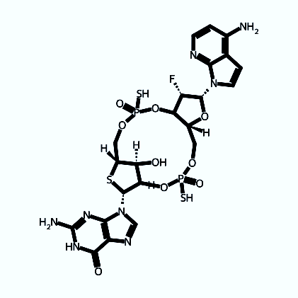 Nc1nc2c(ncn2[C@@H]2S[C@@H]3COP(=O)(S)OC4[C@@H](COP(=O)(S)O[C@@H]2[C@@H]3O)O[C@@H](n2ccc3c(N)ccnc32)[C@H]4F)c(=O)[nH]1